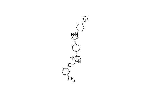 Cn1c(COc2cccc(C(F)(F)F)c2)nnc1[C@H]1CC[C@H](c2cnn([C@H]3CC[C@H](N4CCC4)CC3)c2)CC1